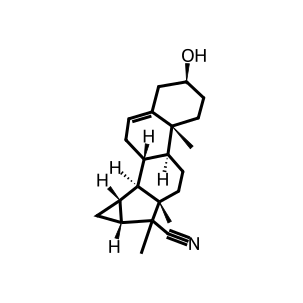 CC1(C#N)[C@@H]2C[C@@H]2[C@H]2[C@@H]3CC=C4C[C@@H](O)CC[C@]4(C)[C@H]3CC[C@@]21C